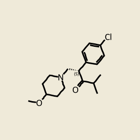 COC1CCN(C[C@@H](C(=O)C(C)C)c2ccc(Cl)cc2)CC1